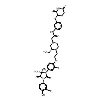 CCc1cc(N2C(=S)N(c3ccc(C#N)c(C(F)(F)F)c3)C(=O)C2(C)C)ccc1OCCN1CCN(CC(=O)Nc2cccc(NC3CCC(=O)NC3=O)c2)C[C@@H]1CO